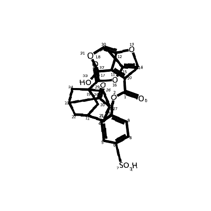 O=C(Oc1ccc(S(=O)(=O)O)cc1)c1c2c3oc1c(OC(=O)C14CC5CC(C1)C(=O)C(C5)C4)c3OC2O